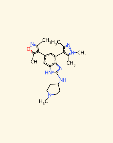 Cc1noc(C)c1-c1cc(-c2c(C)nn(C)c2C)c2nc(NC3CCN(C)CC3)[nH]c2c1